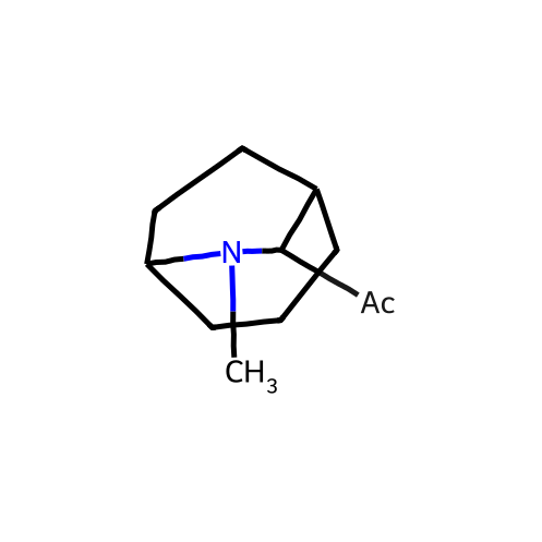 CC(=O)C1C2CCCC(CC2)N1C